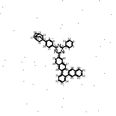 c1ccc(-c2nc(-c3ccc(C45CC6CC(C4)C(C6)C5)cc3)nc(-c3ccc4cc(-c5ccccc5-c5ccc6ccccc6c5)ccc4c3)n2)cc1